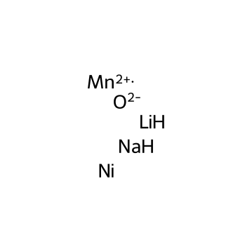 [LiH].[Mn+2].[NaH].[Ni].[O-2]